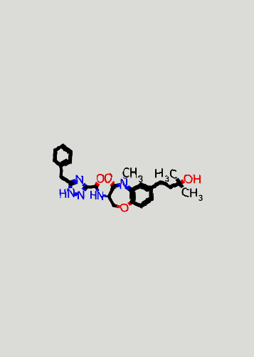 CN1C(=O)[C@H](NC(=O)c2n[nH]c(Cc3ccccc3)n2)COc2ccc(CCC(C)(C)O)cc21